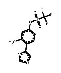 Cc1cc(OS(=O)(=O)C(F)(F)F)ccc1-c1cocn1